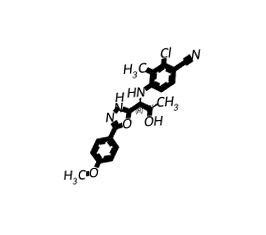 COc1ccc(C2=NNC([C@H](Nc3ccc(C#N)c(Cl)c3C)[C@H](C)O)O2)cc1